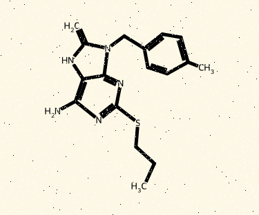 C=C1Nc2c(N)nc(SCCC)nc2N1Cc1ccc(C)cc1